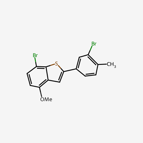 COc1ccc(Br)c2sc(-c3ccc(C)c(Br)c3)cc12